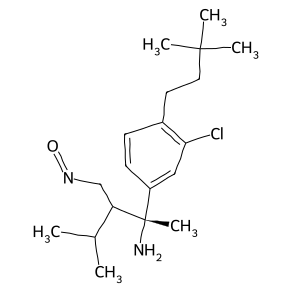 CC(C)C(CN=O)[C@@](C)(N)c1ccc(CCC(C)(C)C)c(Cl)c1